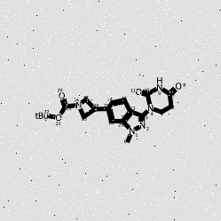 Cn1nc(N2CCC(=O)NC2=O)c2ccc(C3CN(C(=O)OC(C)(C)C)C3)cc21